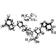 CC(C)(C)[Si](C)(C)OC[C@H]1O[C@@H](n2cnc3c(N)nc(Cl)nc32)CC1OP(=O)(S)OC[C@H]1O[C@@H](n2cnc3c(=O)[nH]c(N)nc32)C(F)C1O[Si](C)(C)C(C)(C)C